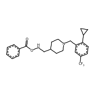 O=C(ONCC1CCN(Cc2cc(C(F)(F)F)ccc2C2CC2)CC1)c1ccccc1